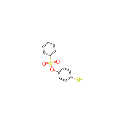 O=S(=O)(Oc1ccc(S)cc1)c1ccccc1